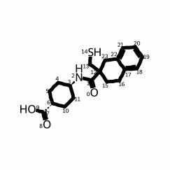 O=C(N[C@H]1CC[C@@H](C(=O)O)CC1)C1(CS)CCc2ccccc2C1